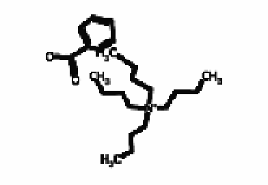 CCCC[N+](CCCC)(CCCC)CCCC.O=C([O-])c1ccccc1